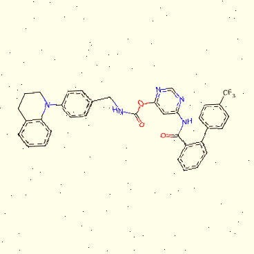 O=C(NCc1ccc(N2CCCc3ccccc32)cc1)Oc1cc(NC(=O)c2ccccc2-c2ccc(C(F)(F)F)cc2)ncn1